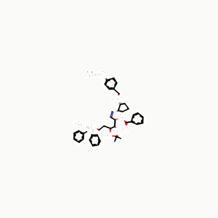 COc1ccc(CO[C@@H]2CCC[C@@H]2/C=C\C(OC(=O)c2ccccc2)C2OC(C)(C)OC2CCO[Si](c2ccccc2)(c2ccccc2)C(C)(C)C)cc1